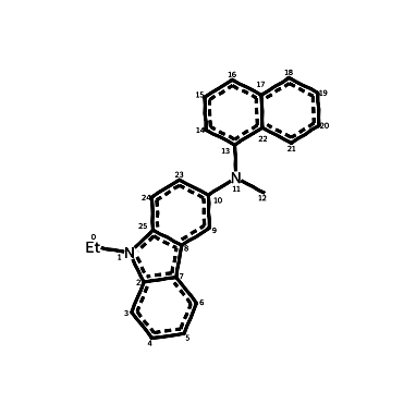 CCn1c2ccccc2c2cc(N(C)c3cccc4ccccc34)ccc21